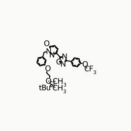 CC(C)(C)[Si](C)(C)OCCOc1cccc(Cn2nc(-c3nc(-c4ccc(OC(F)(F)F)cc4)no3)ccc2=O)c1